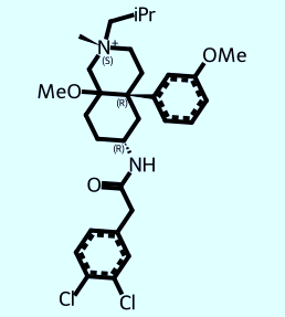 COc1cccc([C@]23CC[N@@+](C)(CC(C)C)CC2(OC)CC[C@@H](NC(=O)Cc2ccc(Cl)c(Cl)c2)C3)c1